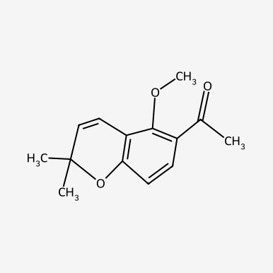 COc1c(C(C)=O)ccc2c1C=CC(C)(C)O2